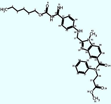 CCCCCCOC(=O)NC(=N)c1ccc(NCc2nc3cc(C(=O)N(CCC(=O)OC)c4ccccc4)ccc3n2C)cc1